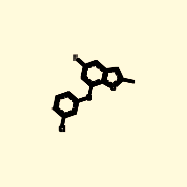 Cc1cc2cc(F)cc(Oc3cc[c]c(Cl)c3)c2o1